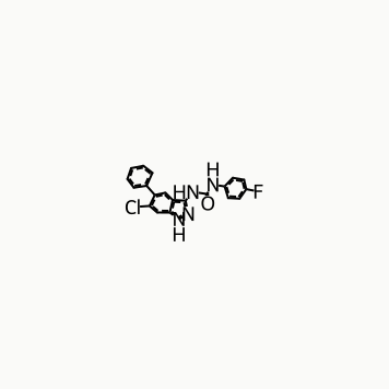 O=C(Nc1ccc(F)cc1)Nc1n[nH]c2cc(Cl)c(-c3ccccc3)cc12